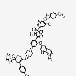 CN1CCC(F)(COc2ncc(S(=O)(=O)NC(=O)c3ccc(N4CCN(CC5=C(c6ccc(Cl)cc6)CC(C)(C)CC5)CC4)cc3Oc3cnc4[nH]ccc4c3)cc2Cl)CC1